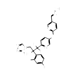 O/N=C/c1ccc(Oc2ccc(C(F)(F)C(O)(Cn3cnnn3)c3ccc(F)cc3F)nc2)nc1